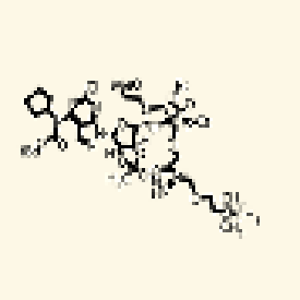 CCOP(=O)(OCC)[C@@](COCCOC)(COCc1n[nH]n[n+]1COCC[Si](C)(C)C)OC[C@H]1O[C@@H](n2ncc3c(N(C(=O)OC(C)(C)C)C4CCCC4)nc(Cl)nc32)[C@@H]2OC(C)(C)O[C@@H]21